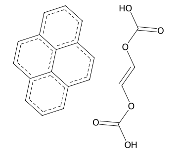 O=C(O)O/C=C/OC(=O)O.c1cc2ccc3cccc4ccc(c1)c2c34